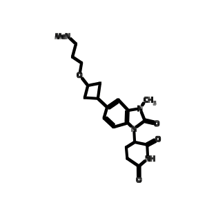 CNCCCOC1CC(c2ccc3c(c2)n(C)c(=O)n3C2CCC(=O)NC2=O)C1